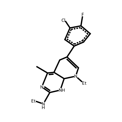 CCNC1=NC(C)=C2CC(c3ccc(F)c(Cl)c3)=CN(CC)C2N1